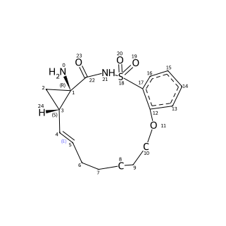 N[C@]12C[C@H]1/C=C/CCCCCOc1ccccc1S(=O)(=O)NC2=O